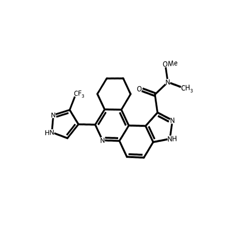 CON(C)C(=O)c1n[nH]c2ccc3nc(-c4c[nH]nc4C(F)(F)F)c4c(c3c12)CCCC4